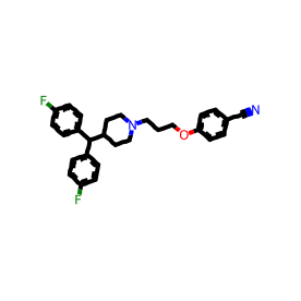 N#Cc1ccc(OCCCN2CCC(C(c3ccc(F)cc3)c3ccc(F)cc3)CC2)cc1